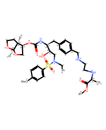 COc1ccc(S(=O)(=O)N(CC(C)C)C[C@@H](O)[C@H](Cc2ccc(CNCCN[C@@H](C)C(=O)OC(C)C)cc2)NC(=O)O[C@H]2CO[C@H]3OCC[C@H]32)cc1